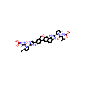 CC[C@H]1CC[C@@H](c2ncc(-c3ccc4c(c3)COc3cc5c(ccc6nc([C@@H]7CC[C@H](C)N7C(=O)[C@@H](NC(=O)OC)C(C)C)[nH]c65)cc3-4)[nH]2)N1C(=O)[C@H](C)NC(=O)OC